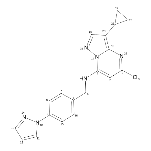 Clc1cc(NCc2ccc(-n3cccn3)cc2)n2ncc(C3CC3)c2n1